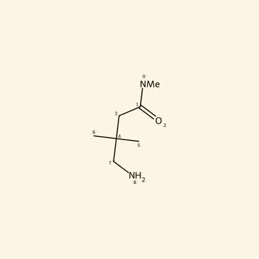 CNC(=O)CC(C)(C)CN